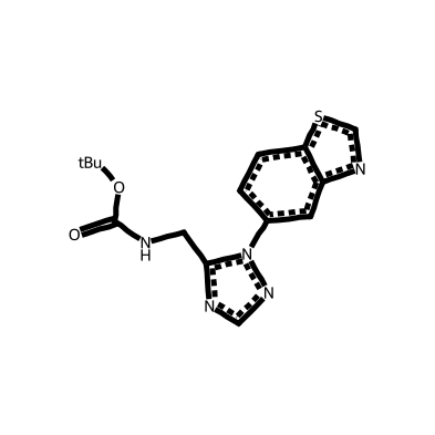 CC(C)(C)OC(=O)NCc1ncnn1-c1ccc2scnc2c1